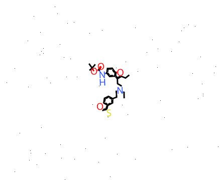 CCc1oc2ccc(NC(=O)OC(C)(C)C)cc2c1CCN(CC)CCc1ccc2occ(SC)c2c1